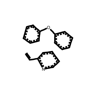 C=Cc1ccccn1.c1ccc(Oc2ccccc2)cc1